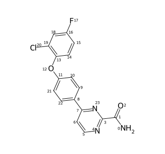 NC(=O)c1nccc(-c2ccc(Oc3ccc(F)cc3Cl)cc2)n1